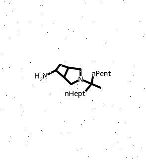 CCCCCCCC(C)(CCCCC)N1CC2CC(N)C2C1